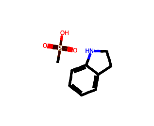 CS(=O)(=O)O.c1ccc2c(c1)CCN2